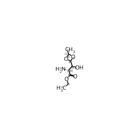 CCOC(=O)[C@H](N)[C@H](O)C1OC(C)O1